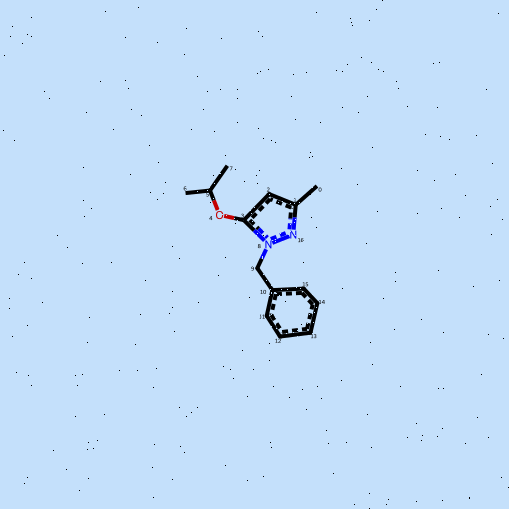 Cc1cc(OC(C)C)n(Cc2ccccc2)n1